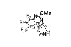 COc1nc(N2C3CCC2CNC3)c2cc(C(F)(F)F)c(Br)c(F)c2n1